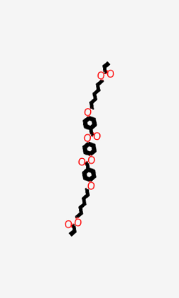 C=CC(=O)OCCCCCCCOc1ccc(C(=O)Oc2ccc(OC(=O)c3ccc(OCCCCCCCOC(=O)C=C)cc3)cc2)cc1